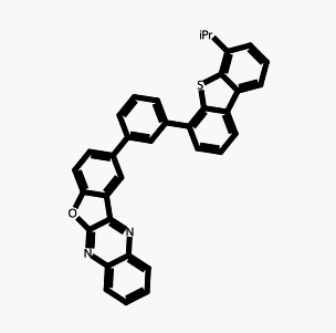 CC(C)c1cccc2c1sc1c(-c3cccc(-c4ccc5oc6nc7ccccc7nc6c5c4)c3)cccc12